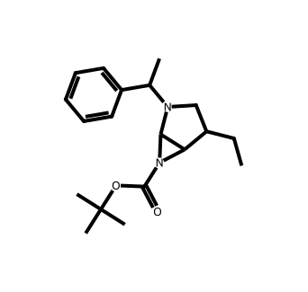 CCC1CN(C(C)c2ccccc2)C2C1N2C(=O)OC(C)(C)C